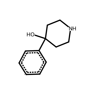 OC1(c2cc[c]cc2)CCNCC1